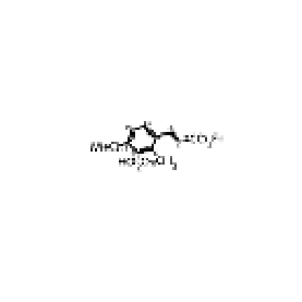 CC(=O)O.CCOC(=O)/C=C/c1ccc(OC)cc1